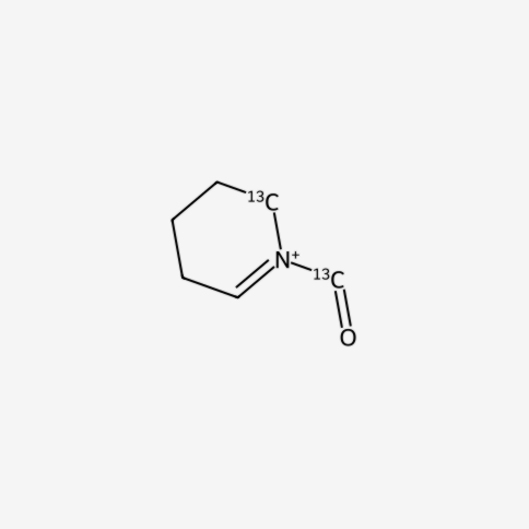 O=[13CH][N+]1=CCCC[13CH2]1